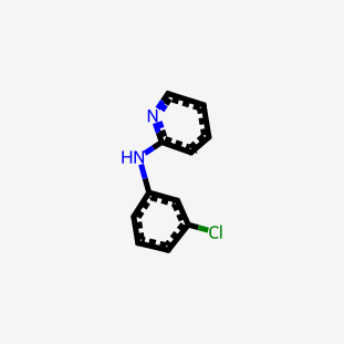 Clc1cccc(Nc2[c]cccn2)c1